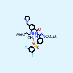 CCOC(=O)n1nc(NC(=O)c2ccc(CN3CCCC3)cc2N[C@H](C)COC)c2cc(S(=O)(=O)c3cc(F)cc(F)c3)ccc21